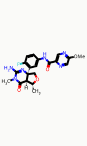 COc1cnc(C(=O)Nc2ccc(F)c([C@]34CO[C@H](C)[C@H]3C(=O)N(C)C(N)=N4)c2)cn1